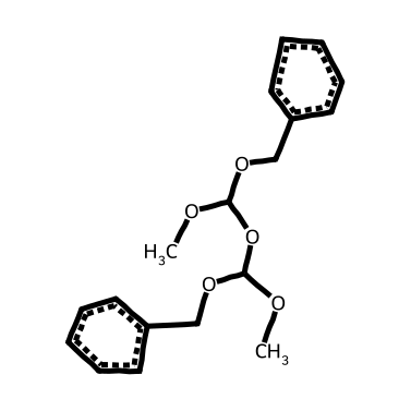 COC(OCc1ccccc1)OC(OC)OCc1ccccc1